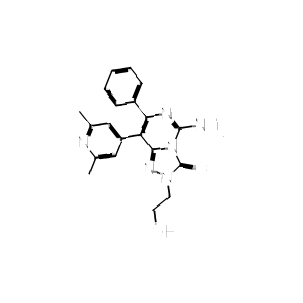 Cc1cc(-c2c(-c3ccccc3)nc(N)n3c(=O)n(CCO)nc23)cc(C)n1